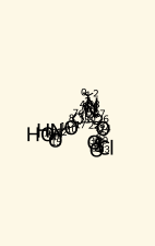 C=C(C)c1cc(-c2ccc(OCCNC(=O)O)cc2)n(-c2ccc(OC)cc2)n1.CS(=O)(=O)Cl